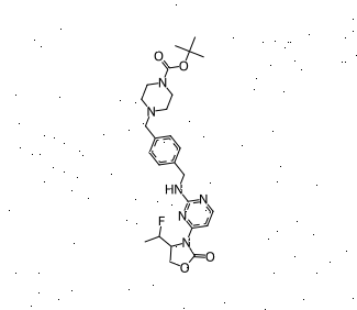 CC(F)C1COC(=O)N1c1ccnc(NCc2ccc(CN3CCN(C(=O)OC(C)(C)C)CC3)cc2)n1